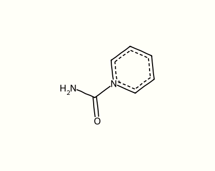 NC(=O)[n+]1ccccc1